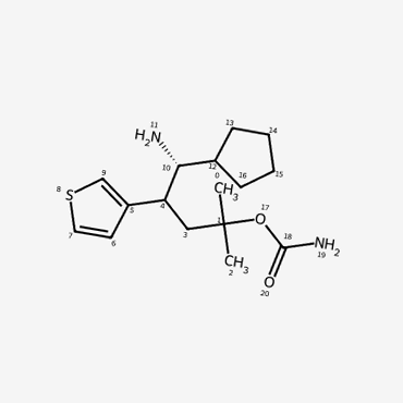 CC(C)(CC(c1ccsc1)[C@H](N)C1CCCC1)OC(N)=O